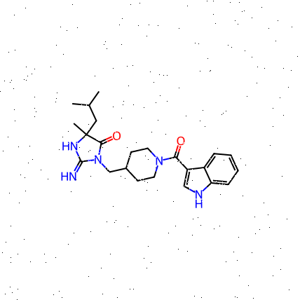 CC(C)CC1(C)NC(=N)N(CC2CCN(C(=O)c3c[nH]c4ccccc34)CC2)C1=O